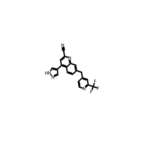 N#Cc1cc(-c2cn[nH]c2)c2ccc(Cc3ccnc(C(F)(F)F)c3)cc2n1